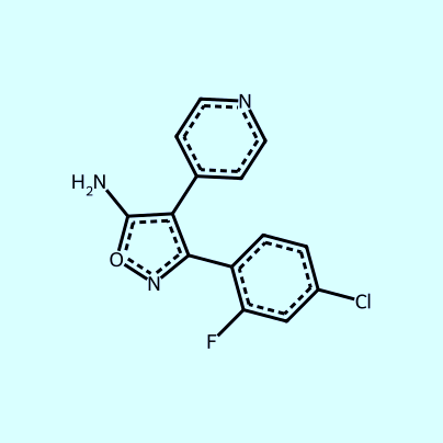 Nc1onc(-c2ccc(Cl)cc2F)c1-c1ccncc1